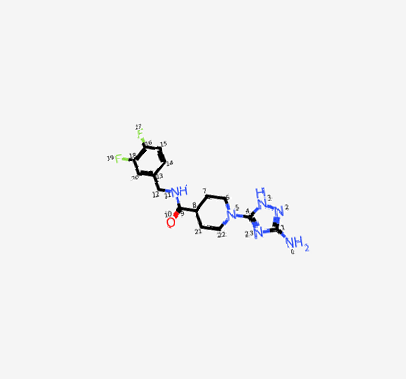 Nc1n[nH]c(N2CCC(C(=O)NCc3ccc(F)c(F)c3)CC2)n1